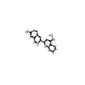 O/N=c1\cc(-c2cc3ccc(Cl)cc3cn2)oc2ccccc12